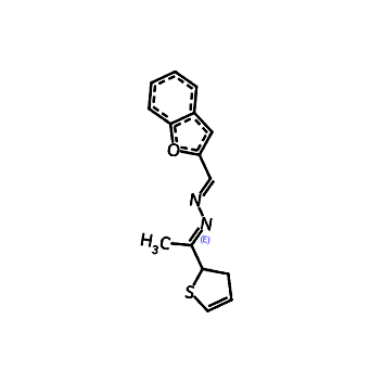 C/C(=N\N=Cc1cc2ccccc2o1)C1CC=CS1